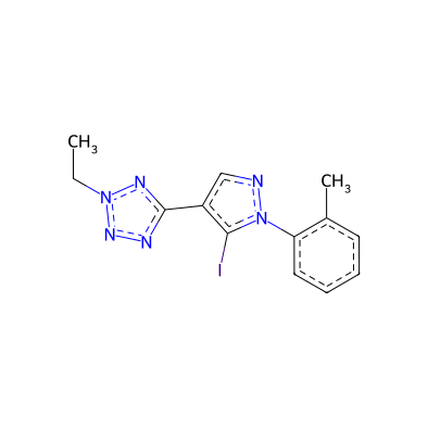 CCn1nnc(-c2cnn(-c3ccccc3C)c2I)n1